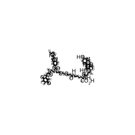 CC1=C(C)C(=O)C(C(C)(C)CC(=O)N(C)CCN(CCOCCOCCC(=O)NCCCCC(NC(=O)CC[C@@H](C)[C@H]2CC[C@H]3[C@@H]4CC[C@@H]5C[C@H](O)CC[C@]5(C)[C@H]4C[C@H](O)[C@]23C)C(=O)O)C(=O)Oc2ccc3nc(C4=NC(C)CS4)sc3c2)=C(C)C1=O